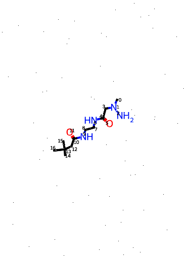 CN(N)CC(=O)NCCNC(=O)CC(C)(C)C